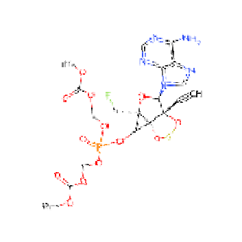 C#C[C@@]12OSO[C@@]13C(OP(=O)(OCOC(=O)OC(C)C)OCOC(=O)OC(C)C)[C@@]3(CF)O[C@H]2n1cnc2c(N)ncnc21